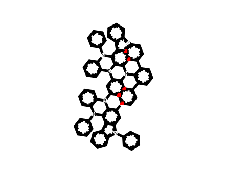 c1ccc(-c2cccc(-c3ccccc3)c2N2c3cc4c(cc3B3c5ccccc5N(c5ccccc5)c5c3c2cc2oc3ccccc3c52)B2c3ccccc3N(c3ccccc3)c3c2c(cc2c3c3ccccc3n2-c2ccccc2)O4)cc1